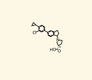 O=C(O)[C@H]1CCN(C2CCc3cc(-c4ccc(C5CC5)c(Cl)c4)ccc32)C1